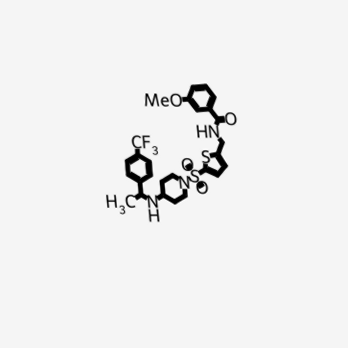 COc1cccc(C(=O)NCc2ccc(S(=O)(=O)N3CCC(NC(C)c4ccc(C(F)(F)F)cc4)CC3)s2)c1